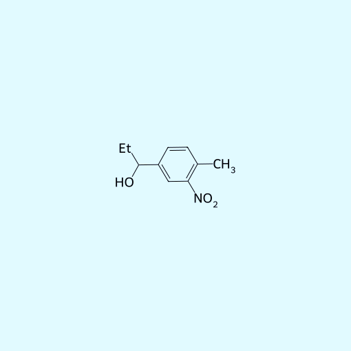 CCC(O)c1ccc(C)c([N+](=O)[O-])c1